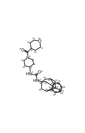 O=C(NC1CCN(C(=O)C2CCOCC2)CC1)NC12CC3CC(F)(CC(C1)c1ccccc13)C2